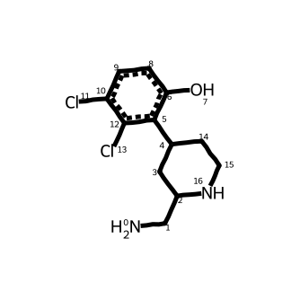 NCC1CC(c2c(O)ccc(Cl)c2Cl)CCN1